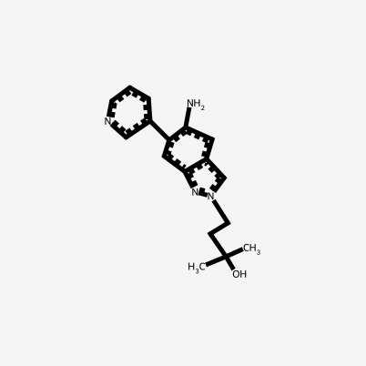 CC(C)(O)CCn1cc2cc(N)c(-c3cccnc3)cc2n1